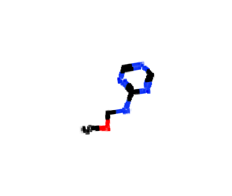 COCNc1ncncn1